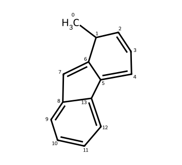 CC1C=CC=C2C1=Cc1ccccc12